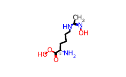 CC(=NO)NCCCC[C@H](N)C(=O)OO